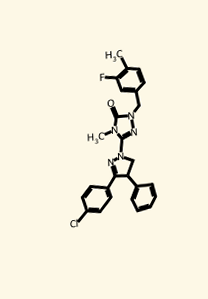 Cc1ccc(Cn2nc(N3CC(c4ccccc4)C(c4ccc(Cl)cc4)=N3)n(C)c2=O)cc1F